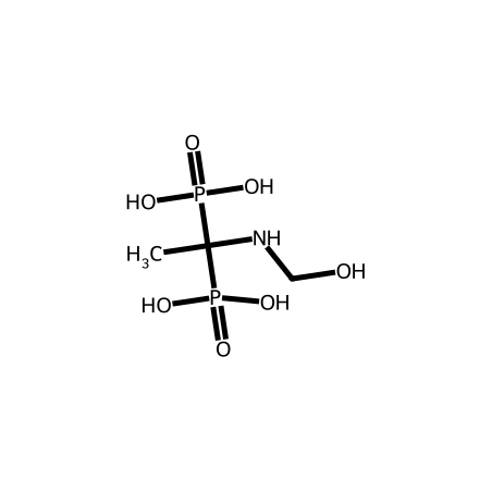 CC(NCO)(P(=O)(O)O)P(=O)(O)O